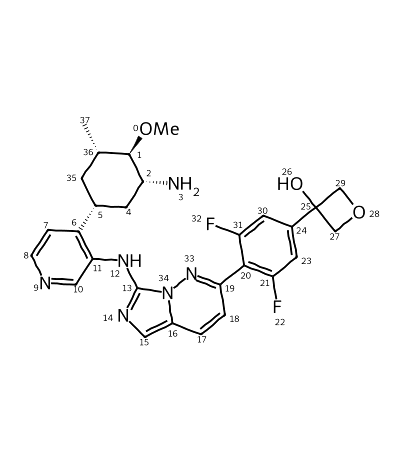 CO[C@H]1[C@H](N)C[C@H](c2ccncc2Nc2ncc3ccc(-c4c(F)cc(C5(O)COC5)cc4F)nn23)C[C@@H]1C